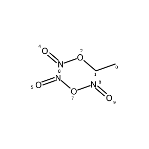 CCON=O.O=NON=O